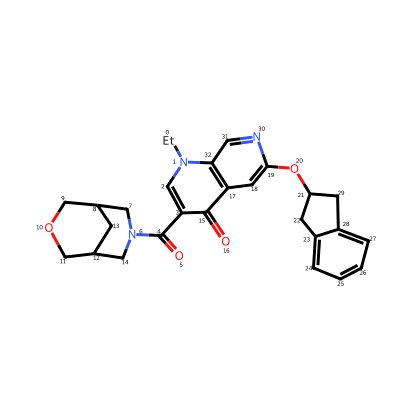 CCn1cc(C(=O)N2CC3COCC(C3)C2)c(=O)c2cc(OC3Cc4ccccc4C3)ncc21